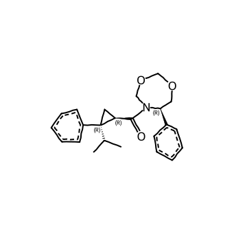 CC(C)[C@]1(c2ccccc2)C[C@H]1C(=O)N1COCOC[C@H]1c1ccccc1